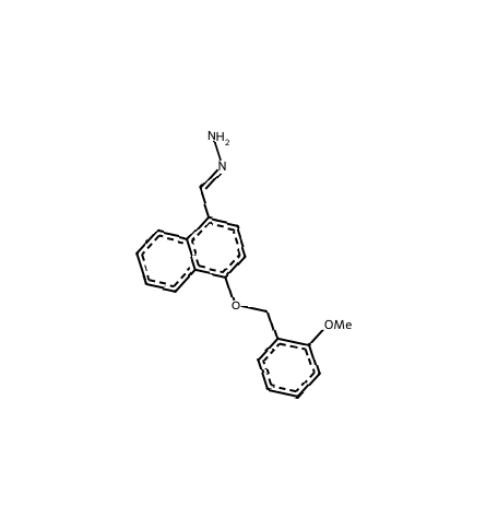 COc1ccccc1COc1ccc(C=NN)c2ccccc12